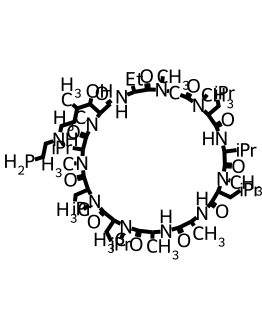 CCC1NC(=O)C(C(O)C(C)CCNCCP)N(C)C(=O)C(C(C)C)N(C)C(=O)C(CC(C)C)N(C)C(=O)C(CC(C)C)N(C)C(=O)C(C)NC(=O)C(C)NC(=O)C(CC(C)C)N(C)C(=O)C(C(C)C)NC(=O)C(CC(C)C)N(C)C(=O)CN(C)C1=O